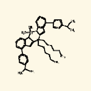 CCCCCC[Si]1(CCCCCC)C2=Cc3c(-c4ccc(C(C)C)cc4)cccc3[CH]2[Hf]([CH3])([CH3])[CH]2C1=Cc1c(-c3ccc(C(C)C)cc3)cccc12